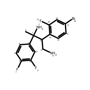 CC(N)(c1ccc(F)c(F)c1)C(CN)c1ccc(Br)cc1F